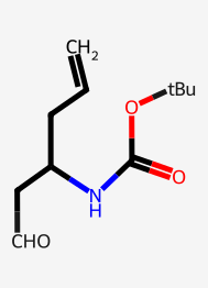 C=CCC(CC=O)NC(=O)OC(C)(C)C